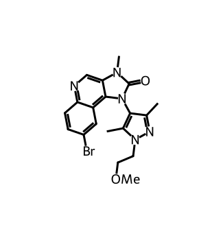 COCCn1nc(C)c(-n2c(=O)n(C)c3cnc4ccc(Br)cc4c32)c1C